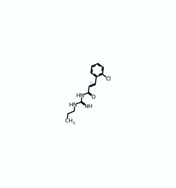 CCCNC(=N)NC(=O)/C=C/c1ccccc1Cl